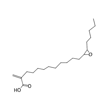 C=C(CCCCCCCCCCC1OC1CCCCC)C(=O)O